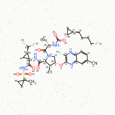 CC[C@@H]1[C@@H](Oc2nc3cc(C#N)ccc3nc2F)CN(C(=O)[C@@H](NC(=O)O[C@@H]2C[C@H]2CCCCF)C(C)(C)C)[C@@H]1C(=O)N[C@]1(C(=O)NS(=O)(=O)C2(C)CC2)C[C@H]1C(F)F